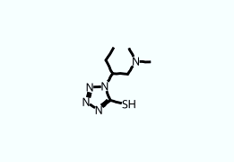 CCC(CN(C)C)n1nnnc1S